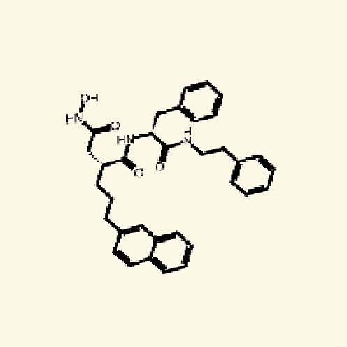 O=C(C[C@@H](CCCc1ccc2ccccc2c1)C(=O)N[C@@H](Cc1ccccc1)C(=O)NCCc1ccccc1)NO